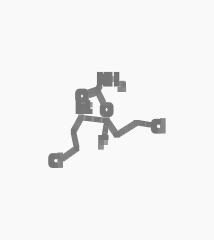 CCC(CCCl)C(F)(CCCl)OC(N)=O